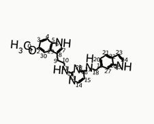 COc1ccc2[nH]cc(CCNc3nccc(NCc4ccc5cc[nH]c5c4)n3)c2c1